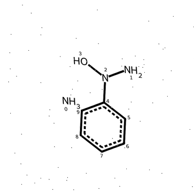 N.NN(O)c1ccccc1